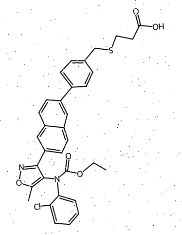 CCOC(=O)N(c1ccccc1Cl)c1c(-c2ccc3cc(-c4ccc(CSCCC(=O)O)cc4)ccc3c2)noc1C